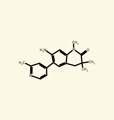 Cc1cc(-c2cc3c(cc2N)N(C)C(=O)C(C)(C)C3)ccn1